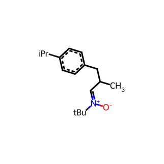 CC(C=[N+]([O-])C(C)(C)C)Cc1ccc(C(C)C)cc1